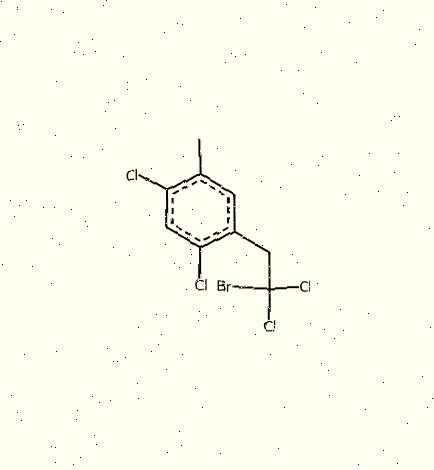 Cc1cc(CC(Cl)(Cl)Br)c(Cl)cc1Cl